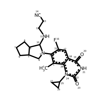 Cc1c(N2CC3CCCC3C2NCCC#N)c(F)cc2c(=O)[nH]c(=O)n(C3CC3)c12